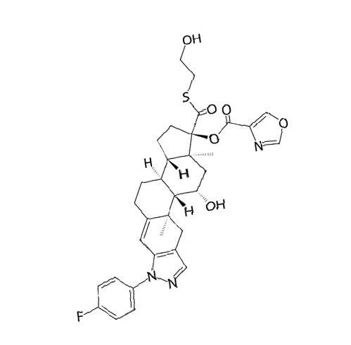 C[C@]12Cc3cnn(-c4ccc(F)cc4)c3C=C1CC[C@@H]1[C@@H]2[C@@H](O)C[C@@]2(C)[C@H]1CC[C@]2(OC(=O)c1cocn1)C(=O)SCCO